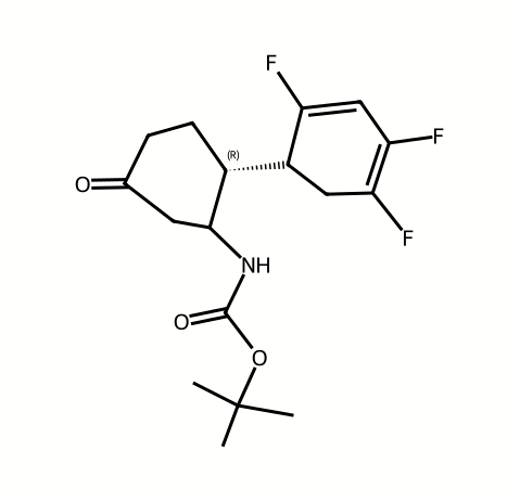 CC(C)(C)OC(=O)NC1CC(=O)CC[C@@H]1C1CC(F)=C(F)C=C1F